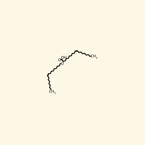 CCCCCCCC/C=C\CCCCCCCCOC(CCCCCCC/C=C\CCCCCCCC)C(=O)O